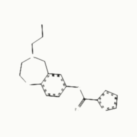 CCCN1CCOc2ccc(NC(=N)c3cccs3)cc2C1